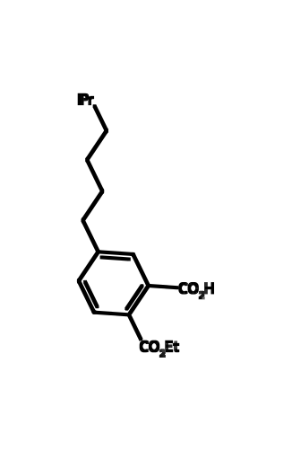 CCOC(=O)c1ccc(CCCCC(C)C)cc1C(=O)O